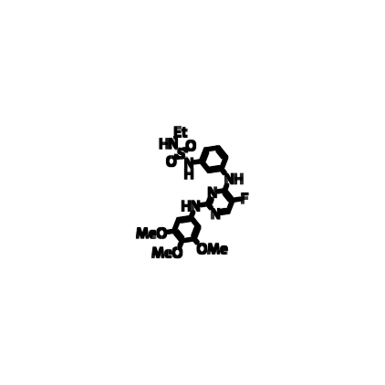 CCNS(=O)(=O)Nc1cccc(Nc2nc(Nc3cc(OC)c(OC)c(OC)c3)ncc2F)c1